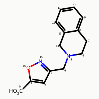 O=C(O)c1cc(CN2CCc3ccccc3C2)no1